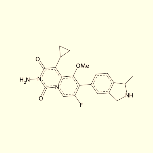 COc1c(-c2ccc3c(c2)CNC3C)c(F)cn2c(=O)n(N)c(=O)c(C3CC3)c12